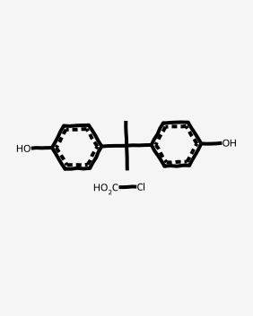 CC(C)(c1ccc(O)cc1)c1ccc(O)cc1.O=C(O)Cl